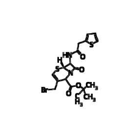 CC(C)(C)OC(=O)C1C(CBr)=CS[C@@H]2C(NC(=O)Cc3cccs3)C(=O)N12